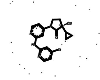 CCc1ccnc(Nc2cc(N3CC[C@@](C#N)(C4CC4)C3=O)ccn2)c1